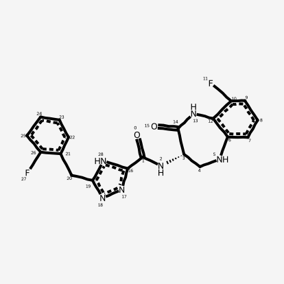 O=C(N[C@H]1CNc2cccc(F)c2NC1=O)c1nnc(Cc2ccccc2F)[nH]1